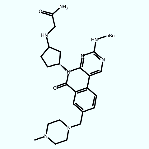 CCCCNc1ncc2c3ccc(CN4CCN(C)CC4)cc3c(=O)n([C@H]3CCC(NCC(N)=O)C3)c2n1